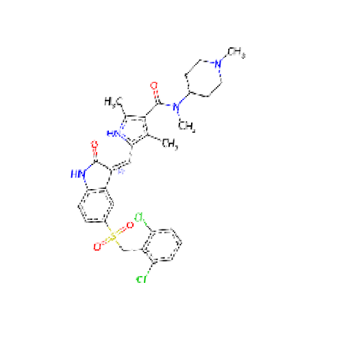 Cc1[nH]c(/C=C2\C(=O)Nc3ccc(S(=O)(=O)Cc4c(Cl)cccc4Cl)cc32)c(C)c1C(=O)N(C)C1CCN(C)CC1